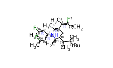 C=C/C(F)=C(C)\C(=C/C)CC(C(=C)NC(/C=C(\C)F)=C/C(=C)F)C(C)C(C)C(C)(C)C